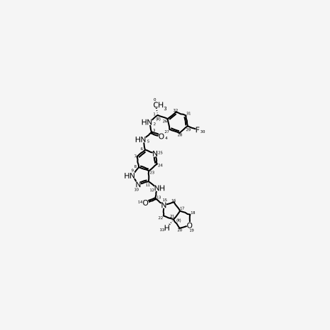 C[C@@H](NC(=O)Nc1cc2[nH]nc(NC(=O)N3CC4COC[C@H]4C3)c2cn1)c1ccc(F)cc1